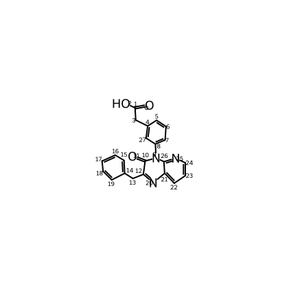 O=C(O)Cc1cccc(-n2c(=O)c(Cc3ccccc3)nc3cccnc32)c1